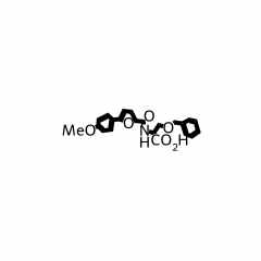 COc1ccc(C2=CCC(C(=O)NC(COCc3ccccc3)C(=O)O)O2)cc1